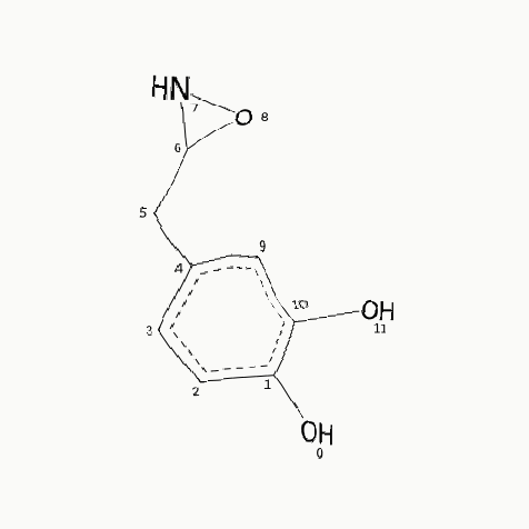 Oc1ccc(CC2NO2)cc1O